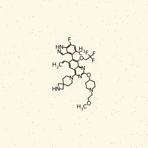 C=Cc1cc2c(N3CCC4(CC3)CNC4)nc(OC3CCN(CCOC)CC3)nc2c(OCC(F)(F)F)c1-c1c(C)cc(F)c2[nH]ncc12